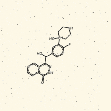 O=c1[nH]nc(C(O)c2ccc(F)c([PH]3(O)CCNCC3)c2)c2ccccc12